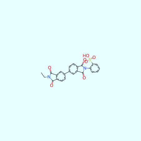 CCN1C(=O)c2ccc(-c3ccc4c(c3)C(=O)N(c3ccccc3S(=O)(=O)O)C4=O)cc2C1=O